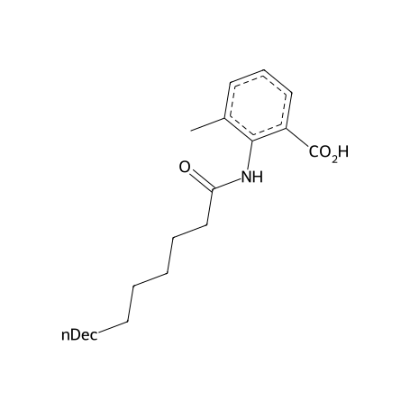 CCCCCCCCCCCCCCCC(=O)Nc1c(C)cccc1C(=O)O